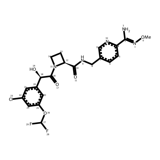 CO/N=C(\N)c1ccc(CNC(=O)[C@@H]2CCN2C(=O)[C@H](O)c2cc(Cl)cc(OC(F)F)c2)cn1